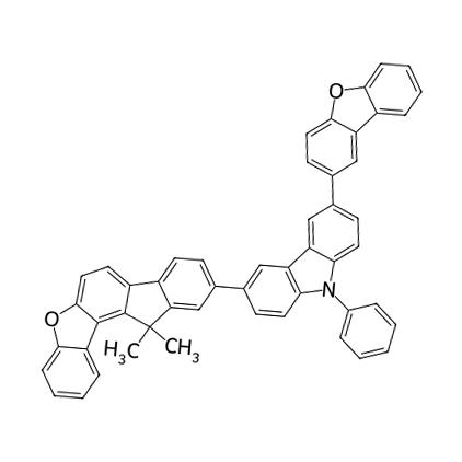 CC1(C)c2cc(-c3ccc4c(c3)c3cc(-c5ccc6oc7ccccc7c6c5)ccc3n4-c3ccccc3)ccc2-c2ccc3oc4ccccc4c3c21